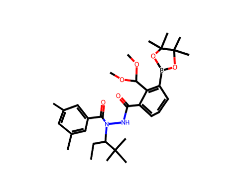 CCC(N(NC(=O)c1cccc(B2OC(C)(C)C(C)(C)O2)c1C(OC)OC)C(=O)c1cc(C)cc(C)c1)C(C)(C)C